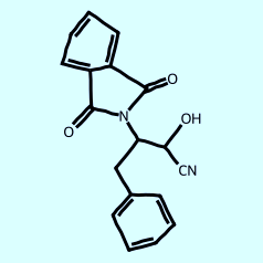 N#CC(O)C(Cc1ccccc1)N1C(=O)c2ccccc2C1=O